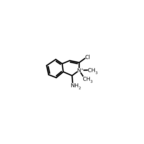 C[N+]1(C)C(Cl)=Cc2ccccc2C1N